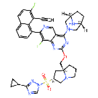 C#Cc1c(F)ccc2cccc(-c3ncc4c(N5C[C@H]6CC[C@@H](C5)N6)nc(OC[C@@]56CCCN5C[C@H](S(=O)(=O)n5cnc(C7CC7)n5)C6)nc4c3F)c12